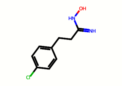 N=C(CCc1ccc(Cl)cc1)NO